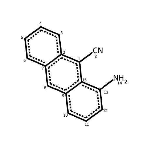 N#Cc1c2ccccc2cc2cccc(N)c12